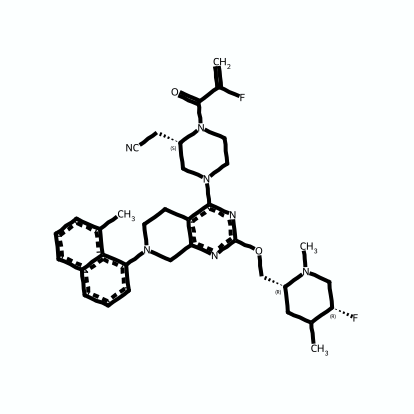 C=C(F)C(=O)N1CCN(c2nc(OC[C@H]3CC(C)[C@@H](F)CN3C)nc3c2CCN(c2cccc4cccc(C)c24)C3)C[C@@H]1CC#N